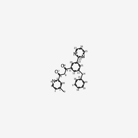 Cc1ccnc(C(=O)CC(=O)c2cc(Cc3ccccc3)cc(-c3ncccn3)c2)c1